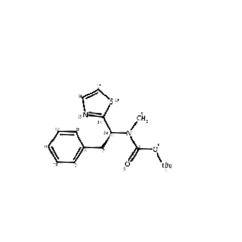 CN(C(=O)OC(C)(C)C)[C@@H](Cc1ccccc1)c1nccs1